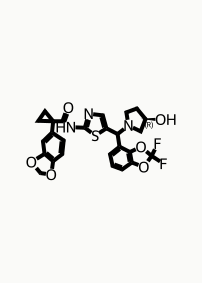 O=C(Nc1ncc(C(c2cccc3c2OC(F)(F)O3)N2CC[C@@H](O)C2)s1)C1(c2ccc3c(c2)OCO3)CC1